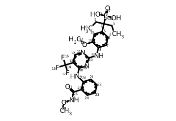 CCC(CC)(c1ccc(Nc2ncc(C(F)(F)F)c(Nc3ccccc3C(=O)NOC)n2)c(OC)c1)P(=O)(O)O